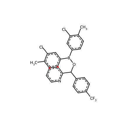 Cc1ccc(B(OC(c2ccc(C(F)(F)F)cc2)c2ccccn2)c2ccc(C)c(Cl)c2)cc1Cl